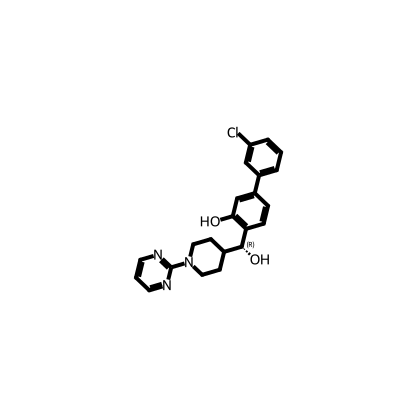 Oc1cc(-c2cccc(Cl)c2)ccc1[C@H](O)C1CCN(c2ncccn2)CC1